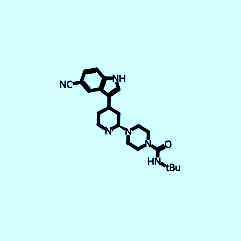 CC(C)(C)NC(=O)N1CCN([C@@H]2CC(c3c[nH]c4ccc(C#N)cc34)CC[N]2)CC1